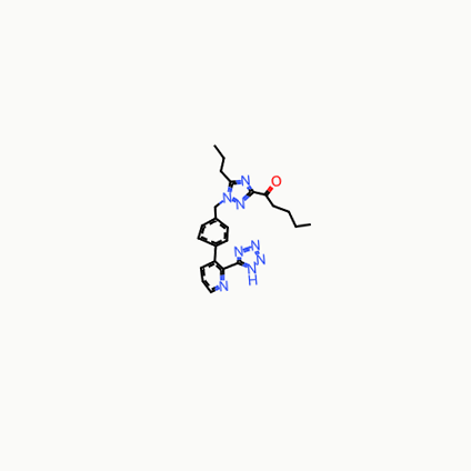 CCCCC(=O)c1nc(CCC)n(Cc2ccc(-c3cccnc3-c3nnn[nH]3)cc2)n1